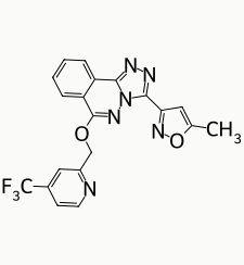 Cc1cc(-c2nnc3c4ccccc4c(OCc4cc(C(F)(F)F)ccn4)nn23)no1